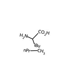 CCC(C)C(N)C(=O)O.CCCC